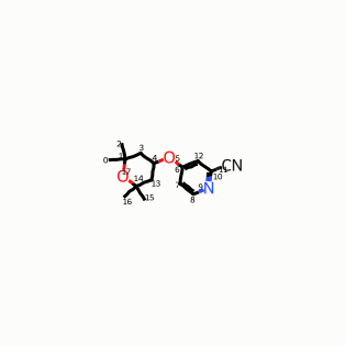 CC1(C)CC(Oc2ccnc(C#N)c2)CC(C)(C)O1